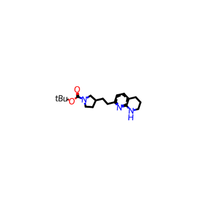 CC(C)(C)OC(=O)N1CCC(CCc2ccc3c(n2)NCCC3)C1